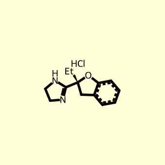 CC[C@]1(C2=NCCN2)Cc2ccccc2O1.Cl